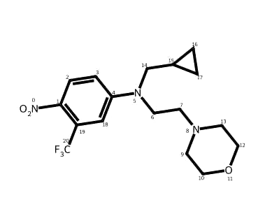 O=[N+]([O-])c1ccc(N(CCN2CCOCC2)CC2CC2)cc1C(F)(F)F